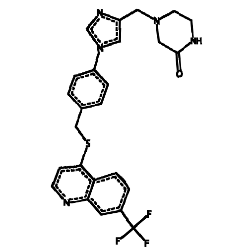 O=C1CN(Cc2cn(-c3ccc(CSc4ccnc5cc(C(F)(F)F)ccc45)cc3)cn2)CCN1